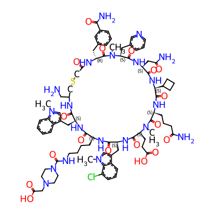 CN1C(=O)[C@H](CCCC(N)=O)NC(=O)[C@H](C2CCC2)NC(=O)[C@H](CC(N)=O)NC(=O)[C@H](Cc2cccnc2)N(C)C(=O)[C@@H](Cc2cccc(C(N)=O)c2)NC(=O)CSCC(CN)NC(=O)[C@H](Cc2cn(C)c3ccccc23)NC(=O)[C@H](CCCCNC(=O)N2CCN(CC(=O)O)CC2)NC(=O)[C@H](Cc2cn(C)c3c(Cl)cccc23)NC(=O)[C@@H]1CCC(=O)O